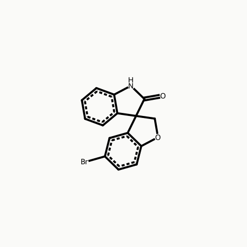 O=C1Nc2ccccc2C12COc1ccc(Br)cc12